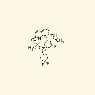 C[C@H](Nc1ncc2ccc(=O)n(CC(C)(C)C)c2n1)c1ccc(CN2CCC(F)(F)CC2)cc1F